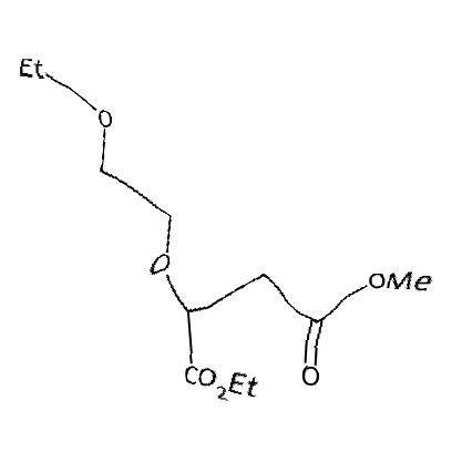 CCOCCOC(CC(=O)OC)C(=O)OCC